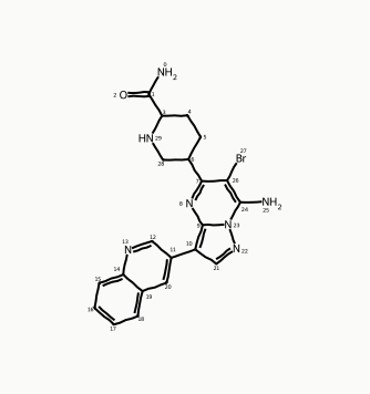 NC(=O)C1CCC(c2nc3c(-c4cnc5ccccc5c4)cnn3c(N)c2Br)CN1